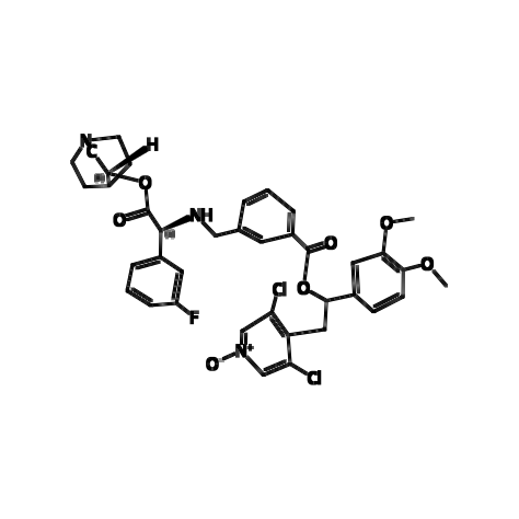 COc1ccc(C(Cc2c(Cl)c[n+]([O-])cc2Cl)OC(=O)c2cccc(CN[C@H](C(=O)O[C@H]3CN4CCC3CC4)c3cccc(F)c3)c2)cc1OC